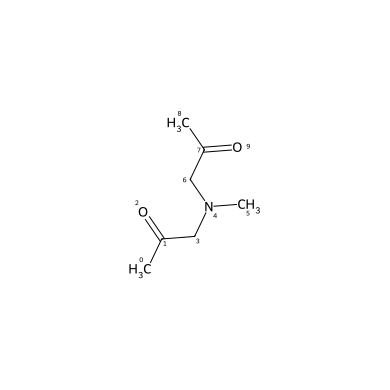 CC(=O)CN(C)CC(C)=O